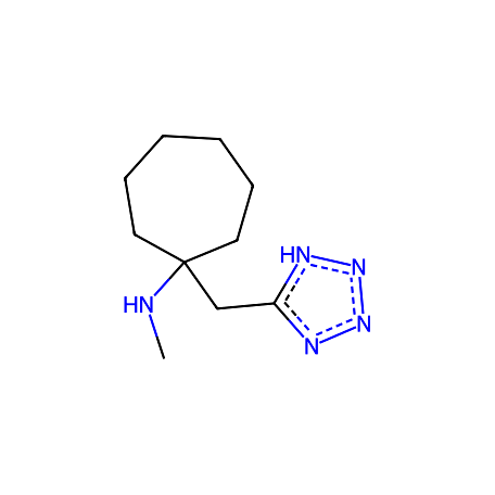 CNC1(Cc2nnn[nH]2)CCCCCC1